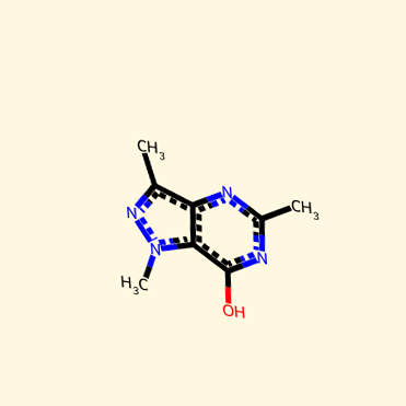 Cc1nc(O)c2c(n1)c(C)nn2C